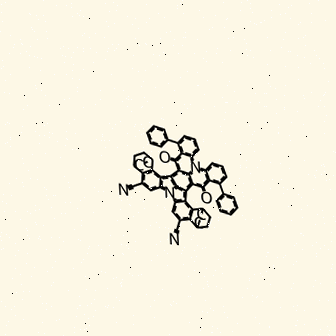 N#Cc1cc2c(c3c1C1CCC3CC1)c1c3c(=O)c4c(-c5ccccc5)cccc4n4c5cccc(-c6ccccc6)c5c(=O)c(c5c6c7c(c(C#N)cc6n2c15)C1CCC7CC1)c34